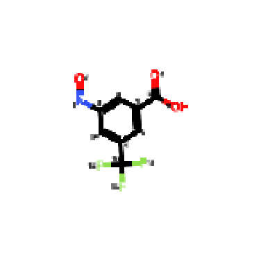 O=Nc1cc(C(=O)O)cc(C(F)(F)F)c1